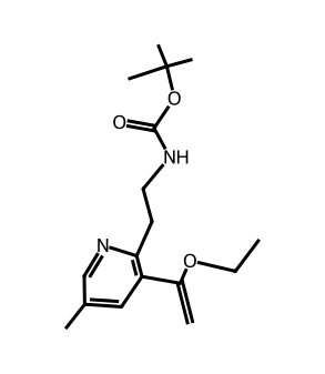 C=C(OCC)c1cc(C)cnc1CCNC(=O)OC(C)(C)C